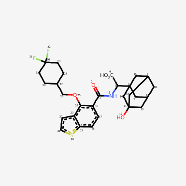 O=C(NC(C(=O)O)C12CC3CC(CC(O)(C3)C1)C2)c1ccc2sccc2c1OCC1CCC(F)(F)CC1